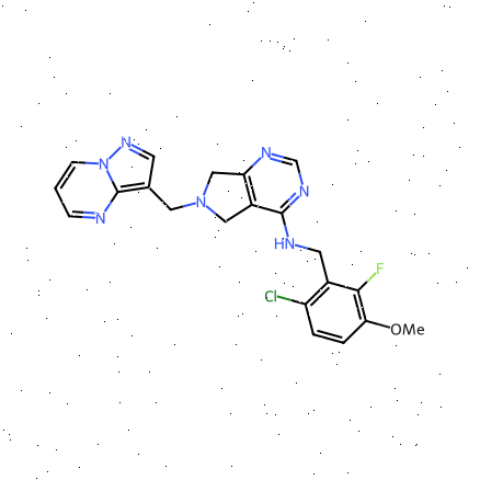 COc1ccc(Cl)c(CNc2ncnc3c2CN(Cc2cnn4cccnc24)C3)c1F